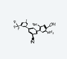 Cc1cc(-c2cc(C#N)cc(-c3cc(N)c(O)cc3Br)c2)cc(C(F)(F)F)c1